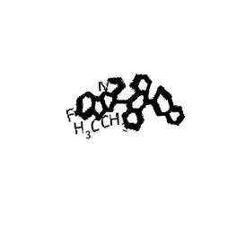 CC1(C)c2cc(F)ccc2-c2c1cc(-c1c3ccccc3c(-c3ccc4ccccc4c3)c3ccccc13)c1cccnc21